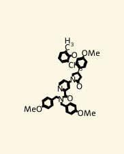 COc1ccc(CN(Cc2ccc(OC)cc2)C(=O)c2cc(N3C[C@@H](c4ccc(OC)c(Oc5c(C)cccc5C)c4)CC3=O)ccn2)cc1